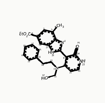 CCOC(=O)c1cc(C)c2nc(-c3c(N(CO)CCc4ccccc4)cc[nH]c3=O)[nH]c2c1